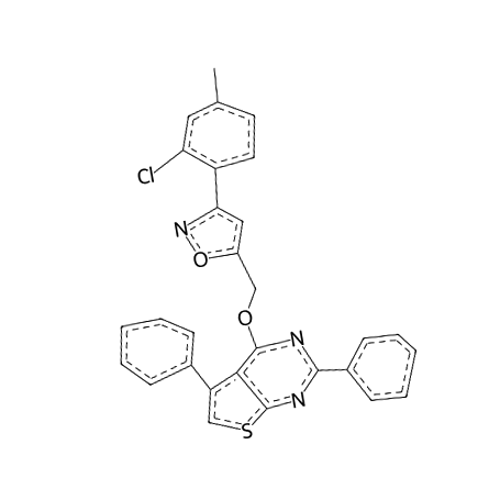 Cc1ccc(-c2cc(COc3nc(-c4ccccc4)nc4scc(-c5ccccc5)c34)on2)c(Cl)c1